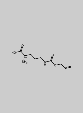 C=CCOC(=O)NCCC[C@H](N)C(=O)O